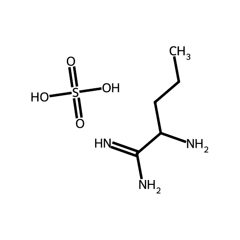 CCCC(N)C(=N)N.O=S(=O)(O)O